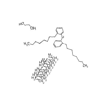 C=C.C=C.C=C.C=C.C=C.C=C.C=C.C=C.C=C.C=C.CCCCCCCCc1ccccc1Oc1ccccc1CCCCCCCC.OCCO